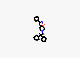 CC(C(=O)N1CCC2(CC1)CC(c1ccccc1)=NO2)(c1ccccc1)c1ccccc1